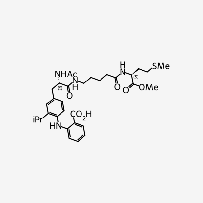 COC(=O)[C@H](CCSC)NC(=O)CCCCNC(=O)[C@H](Cc1ccc(Nc2ccccc2C(=O)O)c(C(C)C)c1)NC(C)=O